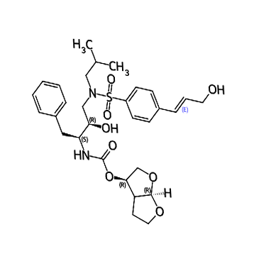 CC(C)CN(C[C@@H](O)[C@H](Cc1ccccc1)NC(=O)O[C@H]1CO[C@H]2OCCC21)S(=O)(=O)c1ccc(/C=C/CO)cc1